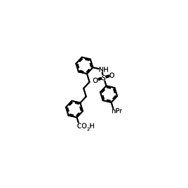 CCCc1ccc(S(=O)(=O)Nc2ccccc2CCCc2cccc(C(=O)O)c2)cc1